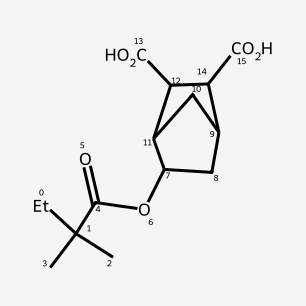 CCC(C)(C)C(=O)OC1CC2CC1C(C(=O)O)C2C(=O)O